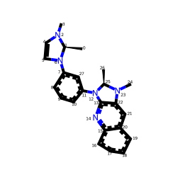 C[C@@H]1N(C)C=CN1c1cccc(N2c3nc4ccccc4cc3N(C)[C@@H]2C)c1